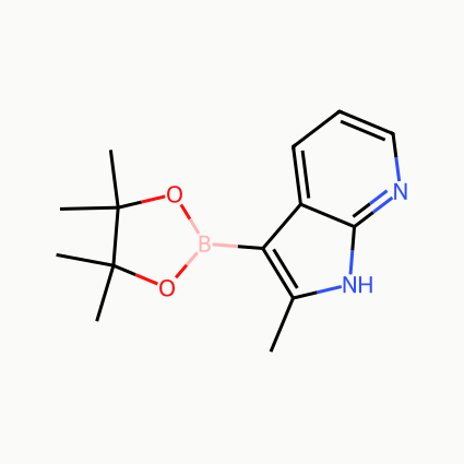 Cc1[nH]c2ncccc2c1B1OC(C)(C)C(C)(C)O1